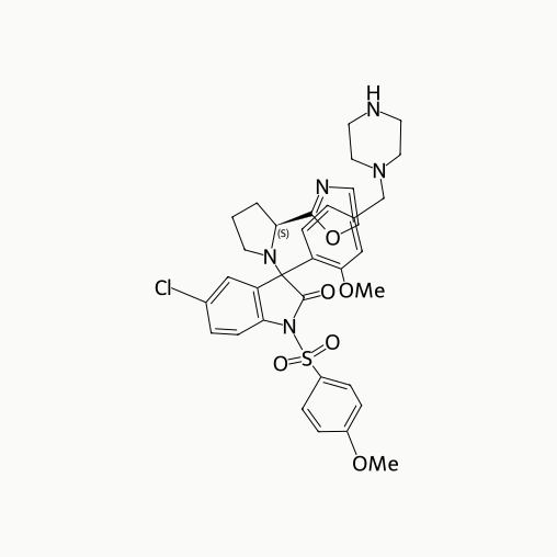 COc1ccc(S(=O)(=O)N2C(=O)C(c3ccc(CN4CCNCC4)cc3OC)(N3CCC[C@H]3c3ncco3)c3cc(Cl)ccc32)cc1